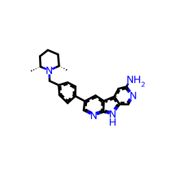 C[C@@H]1CCC[C@H](C)N1Cc1ccc(-c2cnc3[nH]c4cnc(N)cc4c3c2)cc1